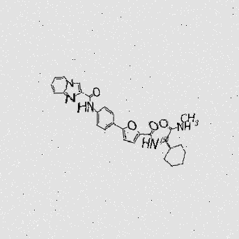 CNC(=O)[C@@H](NC(=O)c1ccc(-c2ccc(NC(=O)c3cn4ccccc4n3)cc2)o1)C1CCCCC1